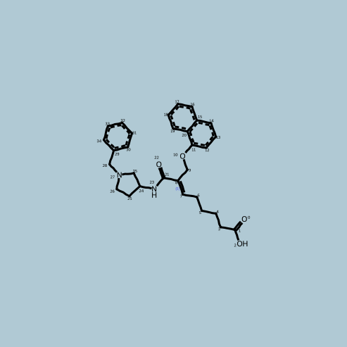 O=C(O)CCCC/C=C(\COc1cccc2ccccc12)C(=O)NC1CCN(Cc2ccccc2)C1